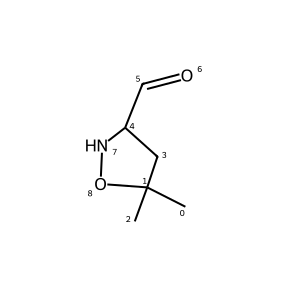 CC1(C)CC(C=O)NO1